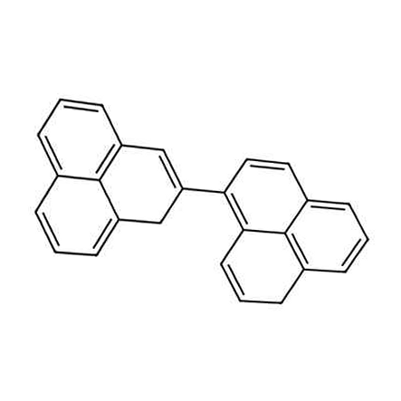 C1=Cc2c(C3=Cc4cccc5cccc(c45)C3)ccc3cccc(c23)C1